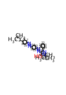 CC(C)CCc1ccc(/N=N/c2ccc(/N=N/c3c(-c4ccccc4)nn(C(C)(C)C)c3O)cc2)cc1